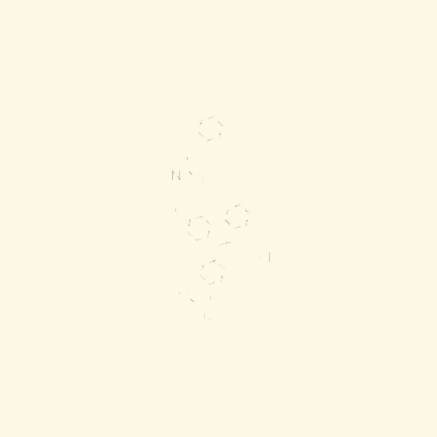 CN(CCOc1ccc(/C(=C(/CCCl)c2ccccc2)c2ccc(OC(=O)C(C)(C)C)cc2)cc1)C(=O)OCc1ccccc1